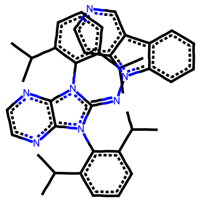 CC(C)c1cccc(C(C)C)c1-n1c(=Nn2c3ccccc3c3cnccc32)n(-c2c(C(C)C)cccc2C(C)C)c2nccnc21